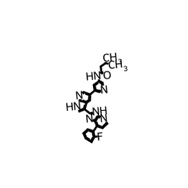 CC(C)CC(=O)Nc1cncc(-c2cnc3[nH]cc(-c4nc5c(-c6ccccc6F)ccnc5[nH]4)c3c2)c1